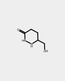 O=C1CCC(CO)NN1